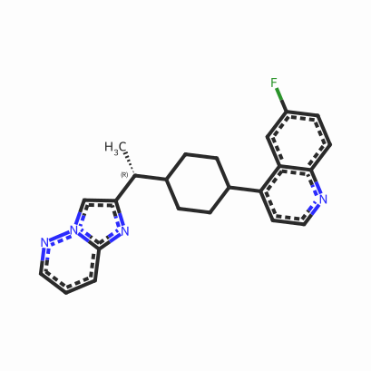 C[C@@H](c1cn2ncccc2n1)C1CCC(c2ccnc3ccc(F)cc23)CC1